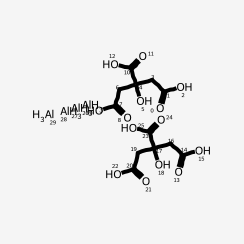 O=C(O)CC(O)(CC(=O)O)C(=O)O.O=C(O)CC(O)(CC(=O)O)C(=O)O.[AlH3].[AlH3].[AlH3].[AlH3]